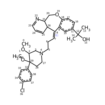 COC1CN(CC/C=C2/c3cc(C(C)(C)O)ccc3OCC3N=CC=CC23)CCC1(OC)c1ccc(Cl)cc1